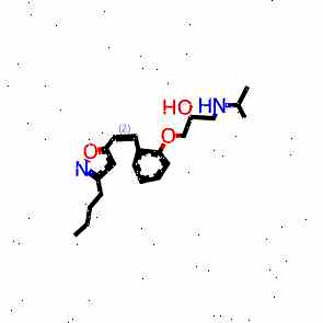 CCCCc1cc(/C=C\c2ccccc2OCC(O)CNC(C)C)on1